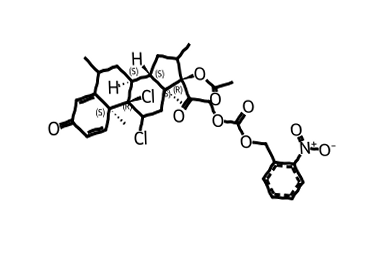 CC(=O)O[C@]1(C(=O)COC(=O)OCc2ccccc2[N+](=O)[O-])C(C)C[C@H]2[C@@H]3CC(C)C4=CC(=O)C=C[C@]4(C)[C@@]3(Cl)C(Cl)C[C@@]21C